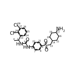 CC(NC(=O)Nc1ccc(S(=O)(=O)CC2CCC(N)CC2)cc1)c1cccc(Cl)c1Cl